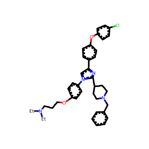 CCN(CC)CCCOc1ccc(-n2cc(-c3ccc(Oc4ccc(Cl)cc4)cc3)nc2C2CCN(Cc3ccccc3)CC2)cc1